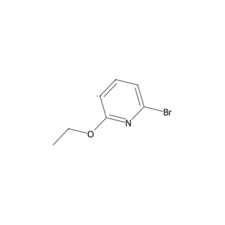 CCOc1[c]ccc(Br)n1